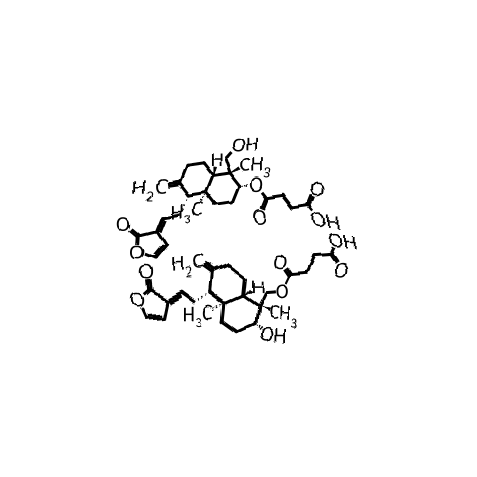 C=C1CC[C@@H]2[C@](C)(CO)[C@H](OC(=O)CCC(=O)O)CC[C@@]2(C)[C@@H]1C/C=C1\C=COC1=O.C=C1CC[C@@H]2[C@](C)(COC(=O)CCC(=O)O)[C@H](O)CC[C@@]2(C)[C@@H]1C/C=C1\C=COC1=O